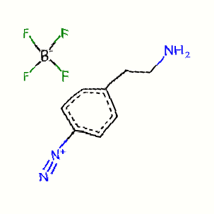 F[B-](F)(F)F.N#[N+]c1ccc(CCN)cc1